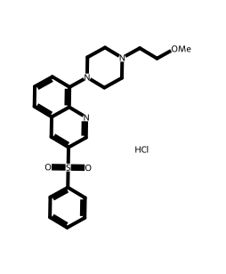 COCCN1CCN(c2cccc3cc(S(=O)(=O)c4ccccc4)cnc23)CC1.Cl